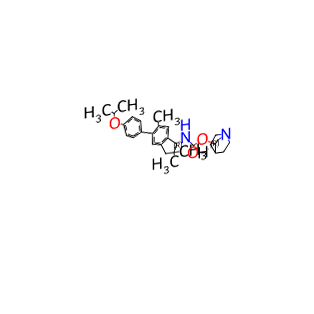 Cc1cc2c(cc1-c1ccc(OC(C)C)cc1)CC(C)(C)[C@H]2NC(=O)O[C@H]1CN2CCC1CC2